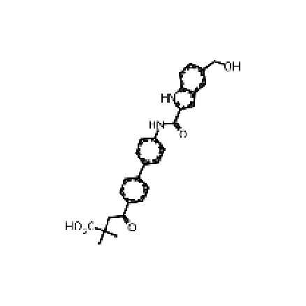 CC(C)(CC(=O)c1ccc(-c2ccc(NC(=O)c3cc4cc(CO)ccc4[nH]3)cc2)cc1)C(=O)O